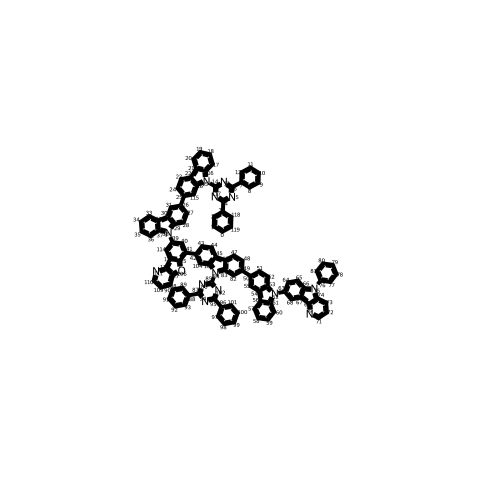 c1ccc(-c2nc(-c3ccccc3)nc(-n3c4ccccc4c4ccc(-c5ccc6c(c5)c5ccccc5n6-c5cc(-c6ccc7c8ccc(-c9ccc%10c(c9)c9ccccc9n%10-c9ccc%10c(c9)c9ncccc9n%10-c9ccccc9)cc8n(-c8nc(-c9ccccc9)nc(-c9ccccc9)n8)c7c6)c6oc7cccnc7c6c5)cc43)n2)cc1